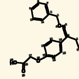 CCC(=NOCc1ccccc1)c1ccc(OCC(=O)O)nc1